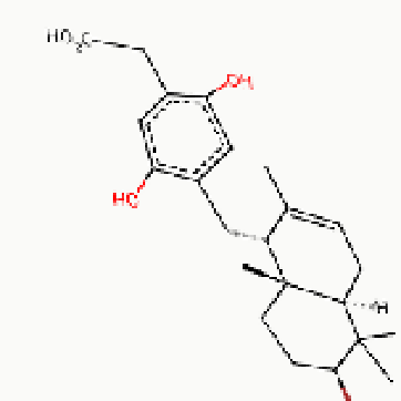 CC1=CC[C@H]2C(C)(C)[C@@H](Br)CC[C@]2(C)[C@@H]1Cc1cc(O)c(CC(=O)O)cc1O